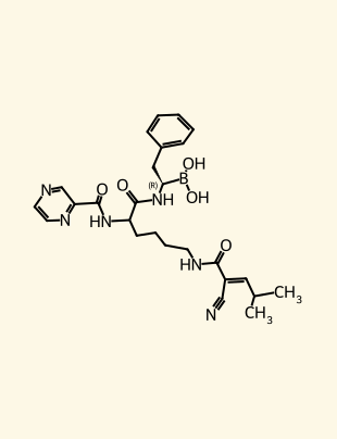 CC(C)C=C(C#N)C(=O)NCCCCC(NC(=O)c1cnccn1)C(=O)N[C@@H](Cc1ccccc1)B(O)O